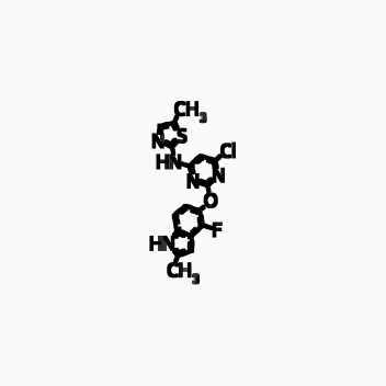 Cc1cc2c(F)c(Oc3nc(Cl)cc(Nc4ncc(C)s4)n3)ccc2[nH]1